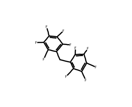 Fc1c(F)c(F)c(Cc2c(F)c(F)c(F)c(F)c2F)c(F)c1F